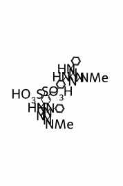 CNN1CN=C(NC2=CC=C(C=Cc3ccc(NC4=NCN(NC)CN4Nc4ccccc4)cc3)C(S(=O)(=O)O)(S(=O)(=O)O)C2)N(Nc2ccccc2)C1